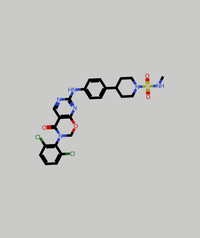 CNS(=O)(=O)N1CCC(c2ccc(Nc3ncc4c(n3)OCN(c3c(Cl)cccc3Cl)C4=O)cc2)CC1